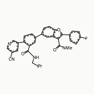 CNC(=O)c1c(-c2ccc(F)cc2)oc2ccc(-c3ccc(-c4cncc(C#N)c4)c(C(=O)NCC(C)C)c3)cc12